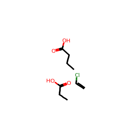 C=CCl.CCC(=O)O.CCCC(=O)O